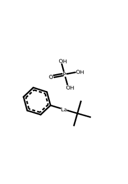 C[C](C)(C)[La][c]1ccccc1.O=P(O)(O)O